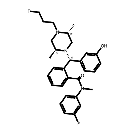 C[C@@H]1CN([C@H](c2cccc(O)c2)c2ccccc2C(=O)N(C)c2cccc(F)c2)[C@@H](C)CN1CCCF